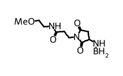 BNC1CC(=O)N(CCC(=O)NCCOC)C1=O